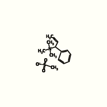 C=CC(c1ccccc1)[N+](C)(C)C.CS(=O)(=O)[O-]